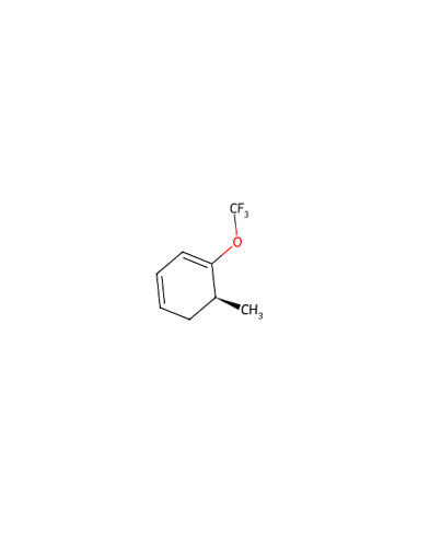 C[C@H]1CC=CC=C1OC(F)(F)F